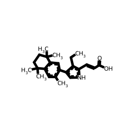 CCc1c(-c2cc3c(cc2C)C(C)(C)CCC3(C)C)c[nH]c1C=CC(=O)O